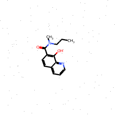 CCCN(C)C(=O)c1ccc2cccnc2c1O